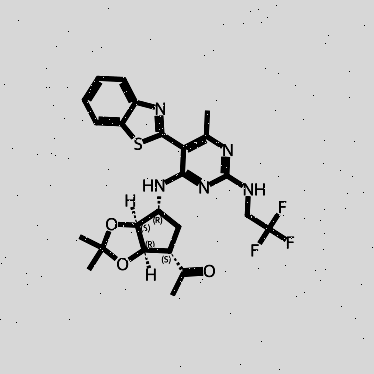 CC(=O)[C@H]1C[C@@H](Nc2nc(NCC(F)(F)F)nc(C)c2-c2nc3ccccc3s2)[C@@H]2OC(C)(C)O[C@@H]21